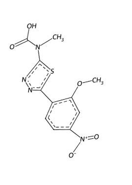 COc1cc([N+](=O)[O-])ccc1-c1nnc(N(C)C(=O)O)s1